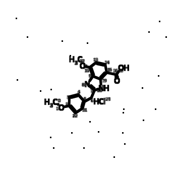 COc1ccc(Cc2nc3c(OC)ccc(C(=O)O)c3[nH]2)cc1.Cl